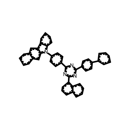 c1ccc(-c2ccc(-c3nc(-c4ccc(-n5c6ccccc6c6cc7ccccc7cc65)cc4)nc(-c4cccc5ccccc45)n3)cc2)cc1